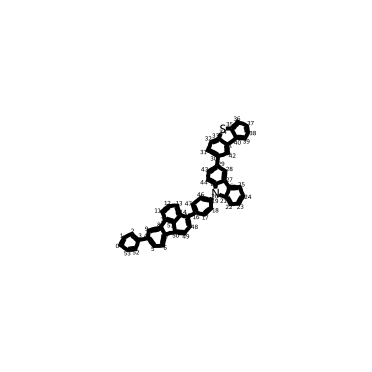 c1ccc(-c2ccc3c(c2)-c2cccc4c(-c5ccc(-n6c7ccccc7c7cc(-c8ccc9sc%10ccccc%10c9c8)ccc76)cc5)ccc-3c24)cc1